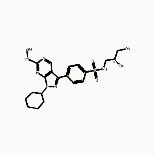 CCCCNc1ncc2c(-c3ccc(S(=O)(=O)NC[C@H](O)CO)cc3)nn(C3CCCCC3)c2n1